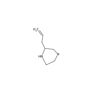 C=CCC1C[N]CCN1